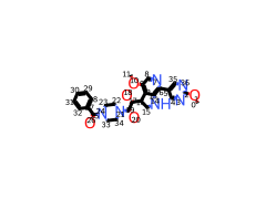 COc1ncc(-c2ncc(OC)c3c2NCC3C(=O)C(=O)N2CCN(C(=O)c3ccccc3)CC2)cn1